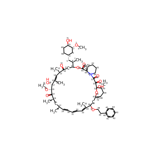 CO[C@@H]1C[C@H](C[C@@H](C)[C@@H]2CC(=O)[C@H](C)/C=C(\C)[C@@H](O)[C@@H](OC)C(=O)[C@H](C)C[C@H](C)/C=C/C=C/C=C(\C)[C@H](OCCc3ccccc3)C[C@@H]3CC[C@@H](C)[C@@](O)(O3)C(=O)C(=O)N3CCCC[C@H]3C(=O)O2)CC[C@H]1O